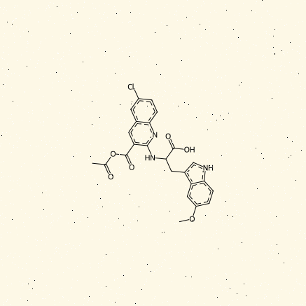 COc1ccc2[nH]cc(CC(Nc3nc4ccc(Cl)cc4cc3C(=O)OC(C)=O)C(=O)O)c2c1